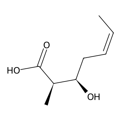 C/C=C\C[C@@H](O)[C@@H](C)C(=O)O